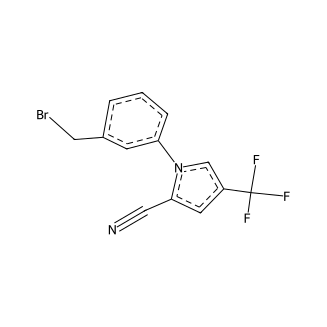 N#Cc1cc(C(F)(F)F)cn1-c1cccc(CBr)c1